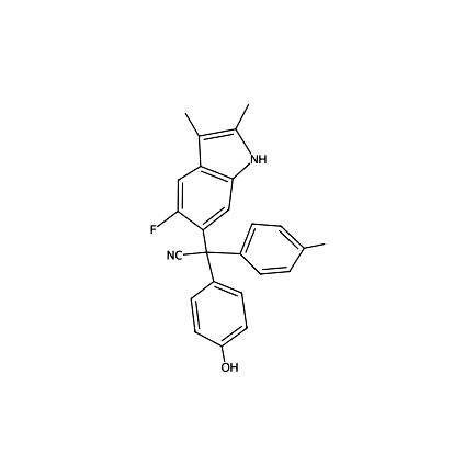 Cc1ccc(C(C#N)(c2ccc(O)cc2)c2cc3[nH]c(C)c(C)c3cc2F)cc1